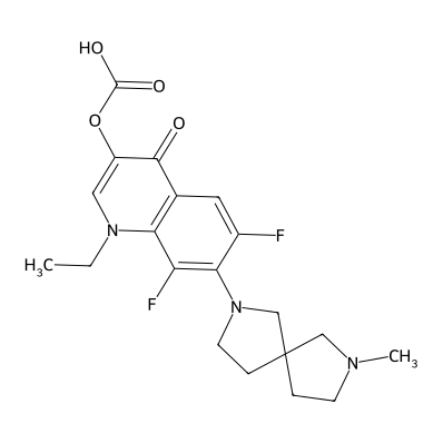 CCn1cc(OC(=O)O)c(=O)c2cc(F)c(N3CCC4(CCN(C)C4)C3)c(F)c21